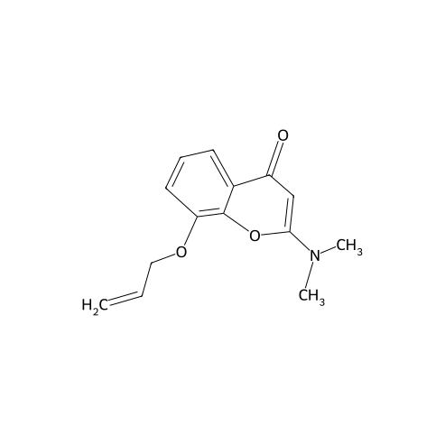 C=CCOc1cccc2c(=O)cc(N(C)C)oc12